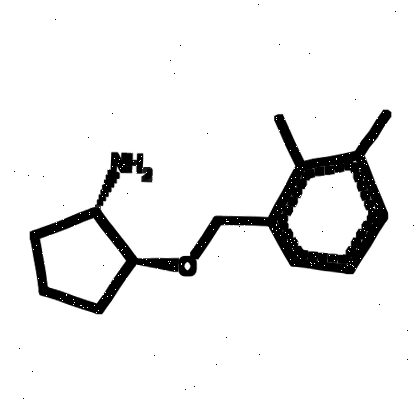 Cc1cccc(CO[C@H]2CCC[C@@H]2N)c1C